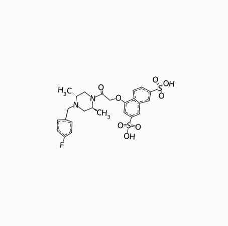 C[C@@H]1CN(C(=O)COc2cc(S(=O)(=O)O)cc3cc(S(=O)(=O)O)ccc23)[C@@H](C)CN1Cc1ccc(F)cc1